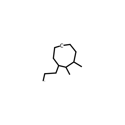 [CH2]CCC1CCCCCC(C)C1C